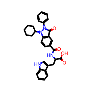 O=C(NC(Cc1c[nH]c2ccccc12)C(=O)O)c1ccc2c(c1)c(=O)n(-c1ccccc1)n2C1CCCCC1